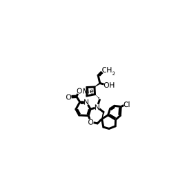 C=CC(O)[C@@H]1CC[C@H]1CN1C[C@@]2(CCCc3cc(Cl)ccc32)COc2ccc(C(=O)OC)nc21